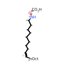 CCCCCCCC/C=C\CCCCCCCCNOC(=O)O